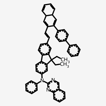 CCC1(CC)c2cc(/C=C/C3=CC4C=CC=CC4C=C3c3ccc(-c4ccccc4)cc3)ccc2-c2ccc(N(c3ccccc3)c3ncc4ccccc4n3)cc21